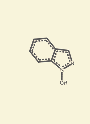 On1ncc2ccccc21